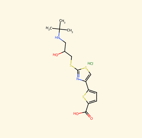 CC(C)(C)NCC(O)CSc1nc(-c2ccc(C(=O)O)s2)cs1.Cl